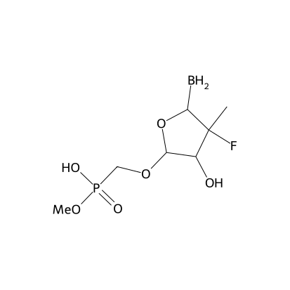 BC1OC(OCP(=O)(O)OC)C(O)C1(C)F